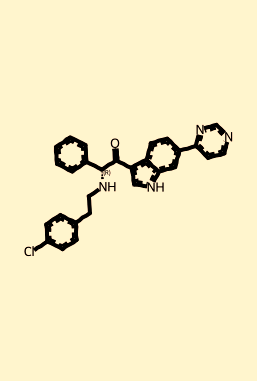 O=C(c1c[nH]c2cc(-c3ccncn3)ccc12)[C@H](NCCc1ccc(Cl)cc1)c1ccccc1